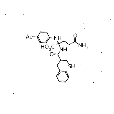 CC(=O)c1ccc(N[C@@](CCC(N)=O)(NC(=O)C(CS)Cc2ccccc2)C(=O)O)cc1